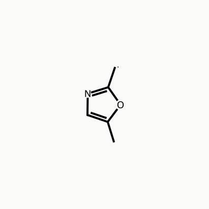 [CH2]c1ncc(C)o1